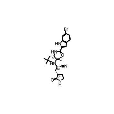 CC(C)(C)C[C@H](NC(=O)c1cc2ccc(Br)cc2[nH]1)C(=O)N[C@H](C#N)C[C@@H]1CCNC1=O